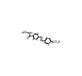 CCCNC(=O)c1ccc(/N=N/c2ccc(C(=O)O)cc2)cc1